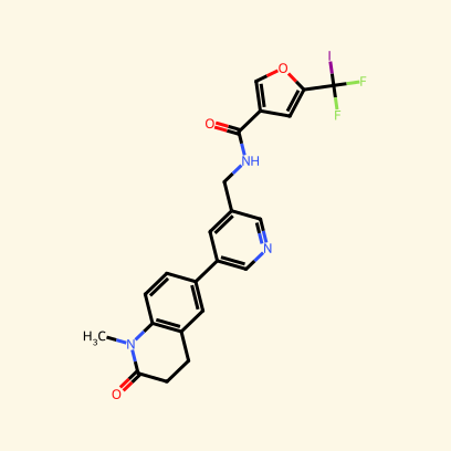 CN1C(=O)CCc2cc(-c3cncc(CNC(=O)c4coc(C(F)(F)I)c4)c3)ccc21